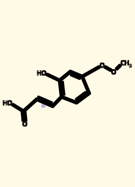 COOc1ccc(/C=C/C(=O)O)c(O)c1